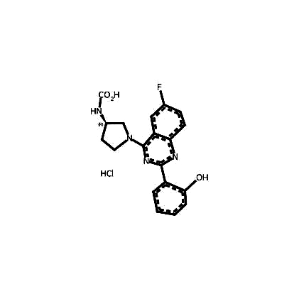 Cl.O=C(O)N[C@@H]1CCN(c2nc(-c3ccccc3O)nc3ccc(F)cc23)C1